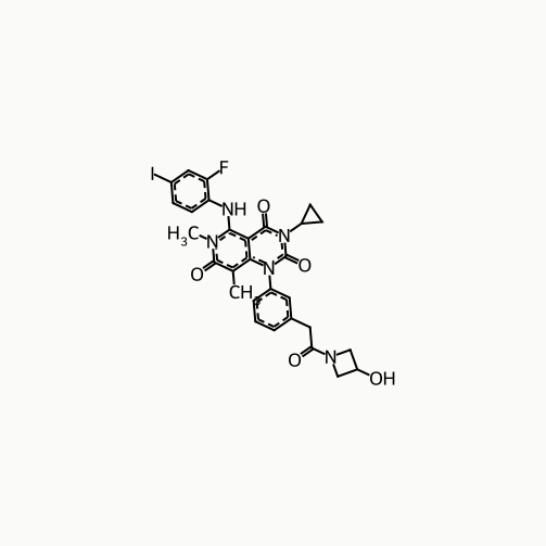 Cc1c(=O)n(C)c(Nc2ccc(I)cc2F)c2c(=O)n(C3CC3)c(=O)n(-c3cccc(CC(=O)N4CC(O)C4)c3)c12